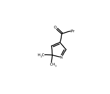 CC(C)C(=O)C1=CC(C)(C)N=C1